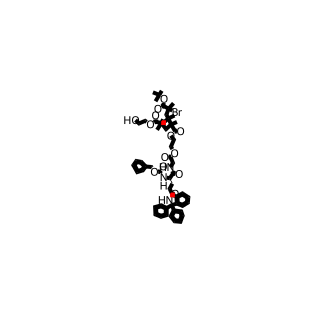 CC(C)(C)OC(=O)C(C)(Br)CC(C)(C)C(C)(CC(C)(C)C(=O)OCCO)C(=O)OCCOC(=O)CNC(=O)[C@H](CCC(=O)NC(c1ccccc1)(c1ccccc1)c1ccccc1)NC(=O)OCc1ccccc1